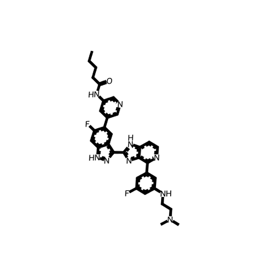 CCCCC(=O)Nc1cncc(-c2cc3c(-c4nc5c(-c6cc(F)cc(NCCN(C)C)c6)nccc5[nH]4)n[nH]c3cc2F)c1